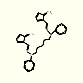 C=C1C=CC=C1/C=N/N(CCCCCN(/N=C/C1=CC=CC1=C)c1ccccc1)c1ccccc1